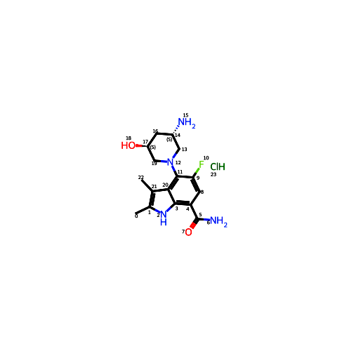 Cc1[nH]c2c(C(N)=O)cc(F)c(N3C[C@@H](N)C[C@H](O)C3)c2c1C.Cl